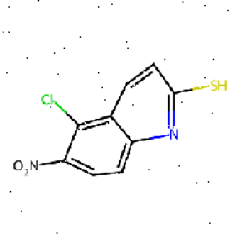 O=[N+]([O-])c1ccc2nc(S)ccc2c1Cl